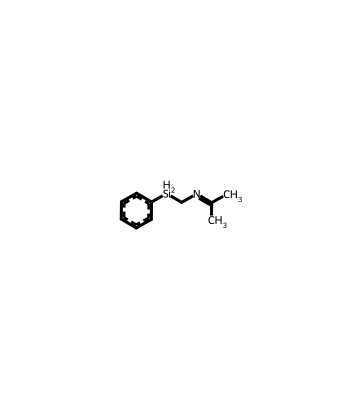 CC(C)=NC[SiH2]c1ccccc1